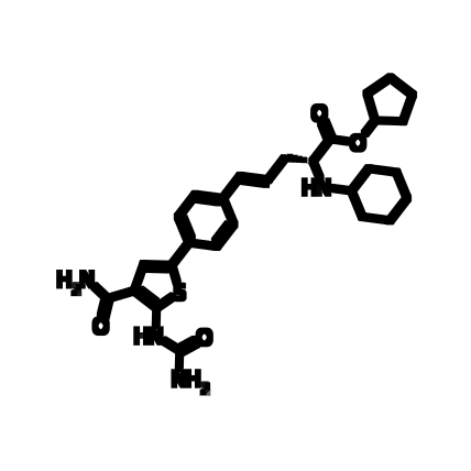 NC(=O)Nc1sc(-c2ccc(C=CC[C@@H](NC3CCCCC3)C(=O)OC3CCCC3)cc2)cc1C(N)=O